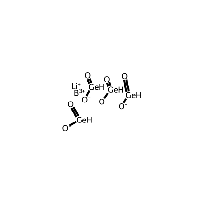 [B+3].[Li+].[O]=[GeH][O-].[O]=[GeH][O-].[O]=[GeH][O-].[O]=[GeH][O-]